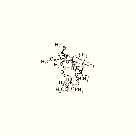 CO[SiH2]O[Si](O[SiH2]OC)(O[SiH2]OC)O[Si](C)(C)O[Si](C)(C)O[Si](C)(C)O[Si](C)(C)O[Si](C)(C)O[Si](C)(C)O[SiH](C)C